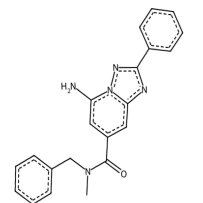 CN(Cc1ccccc1)C(=O)c1cc(N)n2nc(-c3ccccc3)nc2c1